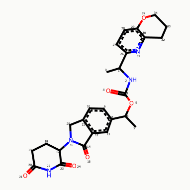 CC(NC(=O)OC(C)c1ccc2c(c1)C(=O)N(C1CCC(=O)NC1=O)C2)c1ccc2c(n1)CCCO2